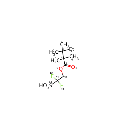 CCC(C)(C)C(C)(C)C(=O)OCC(F)(F)S(=O)(=O)O